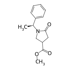 COC(=O)C1CC(=O)N([C@@H](C)c2ccccc2)C1